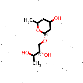 CC1CC(O)C[C@H](OC[C@H](O)C(C)O)O1